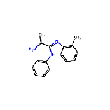 Cc1cccc2c1nc(C(C)N)n2-c1ccccc1